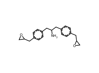 NC(Cc1ccc(CC2CO2)cc1)Cc1ccc(CC2CO2)cc1